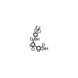 O=C(Nc1ccc(OC(F)(F)Cl)cc1)c1cnc(Cl)c(-c2cnc3c(c2)C(=O)NC3)c1